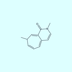 CC1C=CC=c2ccn(C)c(=O)c2=C1